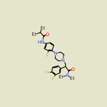 CCC(CC)C(=O)Nc1ccc(N2CCN(CC(C(=O)N(CC)CC)c3ccc(F)c(F)c3)CC2)c(F)c1